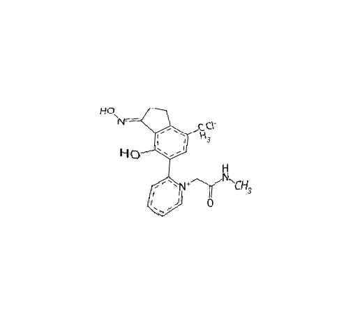 CNC(=O)C[n+]1ccccc1-c1cc(C)c2c(c1O)C(=NO)CC2.[Cl-]